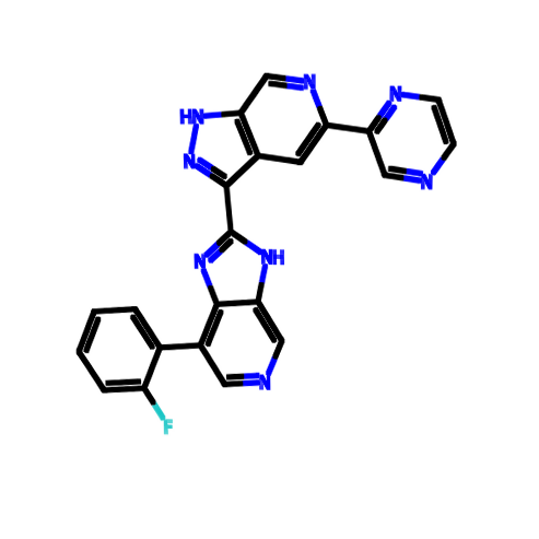 Fc1ccccc1-c1cncc2[nH]c(-c3n[nH]c4cnc(-c5cnccn5)cc34)nc12